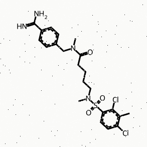 Cc1c(Cl)ccc(S(=O)(=O)N(C)CCCCC(=O)N(C)Cc2ccc(C(=N)N)cc2)c1Cl